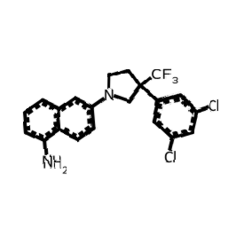 Nc1cccc2cc(N3CCC(c4cc(Cl)cc(Cl)c4)(C(F)(F)F)C3)ccc12